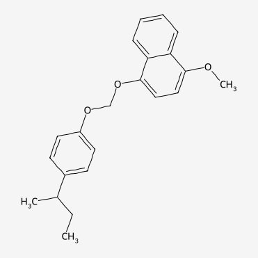 CCC(C)c1ccc(OCOc2ccc(OC)c3ccccc23)cc1